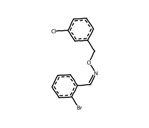 Clc1cccc(CO/N=[C]\c2ccccc2Br)c1